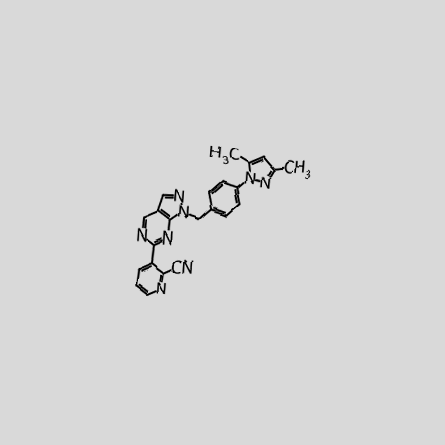 Cc1cc(C)n(-c2ccc(Cn3ncc4cnc(-c5cccnc5C#N)nc43)cc2)n1